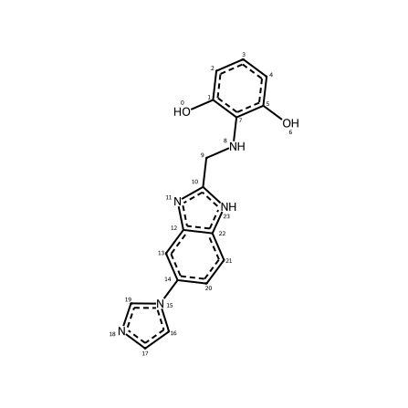 Oc1cccc(O)c1NCc1nc2cc(-n3ccnc3)ccc2[nH]1